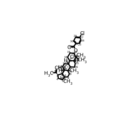 C=C(C)[C@@H]1CC[C@]2(C)CC[C@]3(C)[C@H](CC[C@@H]4[C@@]5(C)CC[C@H](OC(=O)c6ccc(Cl)cc6)C(C)(C)[C@@H]5CC[C@]43C)[C@@H]12